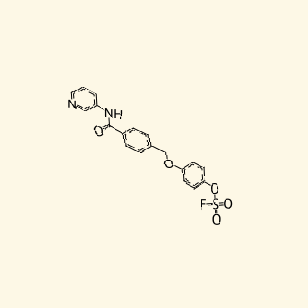 O=C(Nc1cccnc1)c1ccc(COc2ccc(OS(=O)(=O)F)cc2)cc1